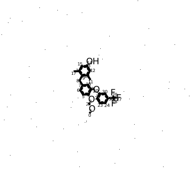 COCOc1ccc(Cc2c(C)cc(O)cc2C)cc1Oc1cccc(C(F)(F)F)c1